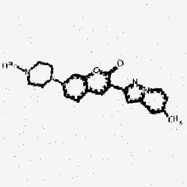 CCCN1CCN(c2ccc3cc(-c4cc5cc(C)ccn5n4)c(=O)oc3c2)CC1